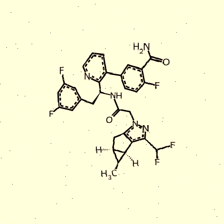 C[C@H]1[C@H]2Cc3c(c(C(F)F)nn3CC(=O)N[C@@H](Cc3cc(F)cc(F)c3)c3ncccc3-c3ccc(F)c(C(N)=O)c3)[C@@H]12